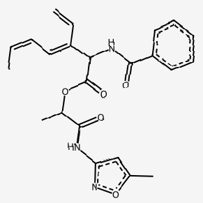 C=C/C(=C\C=C/C)C(NC(=O)c1ccccc1)C(=O)OC(C)C(=O)Nc1cc(C)on1